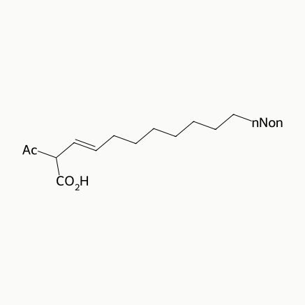 CCCCCCCCCCCCCCCC/C=C/C(C(C)=O)C(=O)O